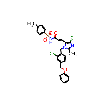 Cc1ccc(S(=O)(=O)NC(=O)/C=C/c2c(Cl)nc(C)n2Cc2ccc(COc3ccccc3)cc2Cl)cc1